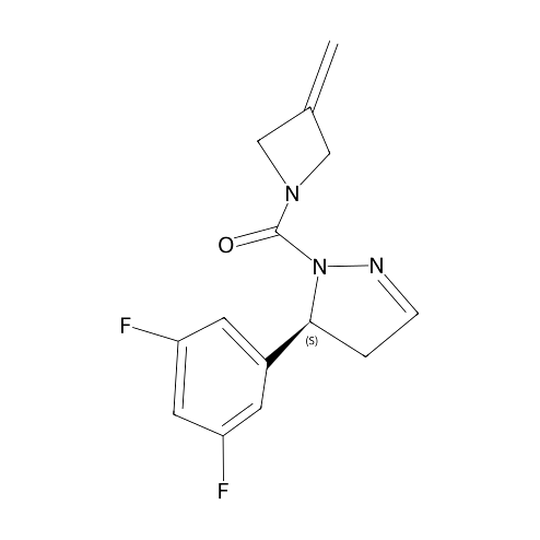 C=C1CN(C(=O)N2N=CC[C@H]2c2cc(F)cc(F)c2)C1